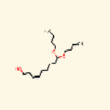 CCCCOC(CCCC/C=C\CCO)OCCCC